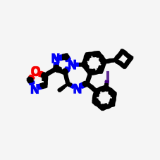 C[C@@H]1N=C(c2ccccc2I)c2cc(C3CCC3)ccc2-n2cnc(-c3cnco3)c21